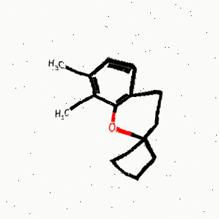 Cc1[c]cc2c(c1C)OC1(CCC1)CC2